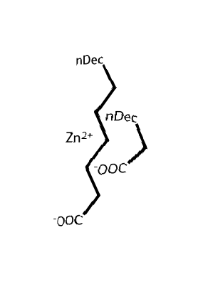 CCCCCCCCCCCC(=O)[O-].CCCCCCCCCCCCCCCC(=O)[O-].[Zn+2]